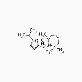 CC(C)c1ccc(CN2C(C)(C)COCC2(C)C)o1